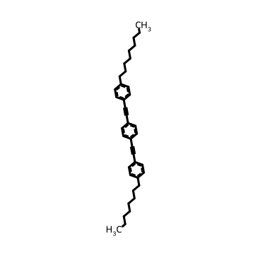 CCCCCCCCCc1ccc(C#Cc2ccc(C#Cc3ccc(CCCCCCCC)cc3)cc2)cc1